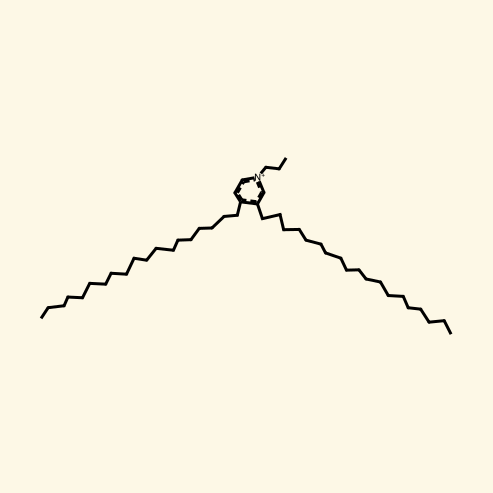 CCCCCCCCCCCCCCCCCCCc1cc[n+](CCC)cc1CCCCCCCCCCCCCCCCCCC